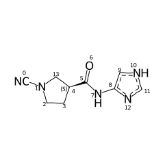 N#CN1CC[C@H](C(=O)Nc2c[nH]cn2)C1